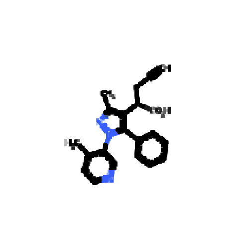 C#CCC(C(=O)O)c1c(C)nn(-c2cnccc2C)c1-c1ccccc1